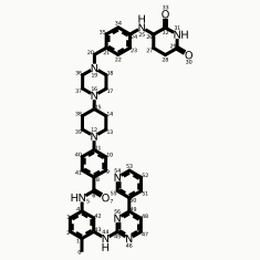 Cc1ccc(NC(=O)c2ccc(N3CCC(N4CCN(Cc5ccc(NC6CCC(=O)NC6=O)cc5)CC4)CC3)cc2)cc1Nc1nccc(-c2cccnc2)n1